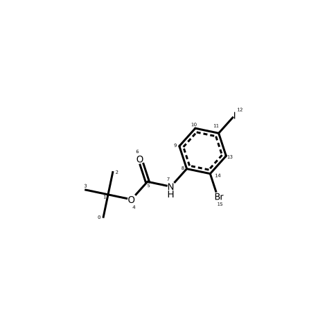 CC(C)(C)OC(=O)Nc1ccc(I)cc1Br